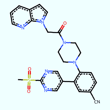 CS(=O)(=O)c1ncc(-c2cc(C#N)ccc2N2CCN(C(=O)Cn3ccc4cccnc43)CC2)cn1